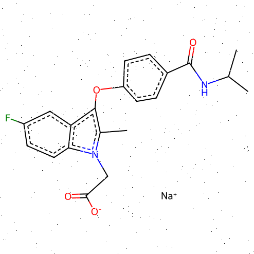 Cc1c(Oc2ccc(C(=O)NC(C)C)cc2)c2cc(F)ccc2n1CC(=O)[O-].[Na+]